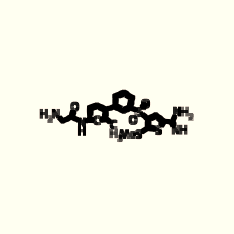 CSc1sc(C(=N)N)cc1S(=O)(=O)c1cccc(-c2ccc(NC(=O)CN)cc2C)c1